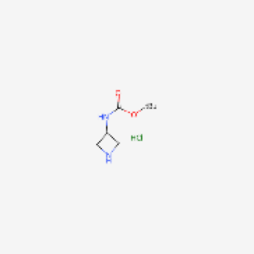 CC(C)(C)OC(=O)NC1CNC1.Cl